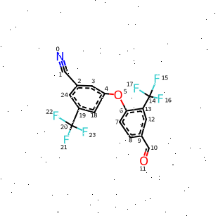 N#Cc1cc(Oc2ccc(C=O)cc2C(F)(F)F)cc(C(F)(F)F)c1